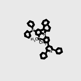 C[Si]1(C)c2cc(-c3cc(-c4ccccc4)nc(-c4ccccc4)c3)ccc2-n2c3ccc4ccccc4c3c3cc(N(c4ccccc4)c4ccccc4)cc1c32